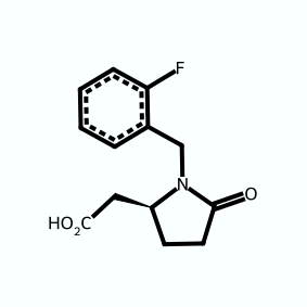 O=C(O)C[C@@H]1CCC(=O)N1Cc1ccccc1F